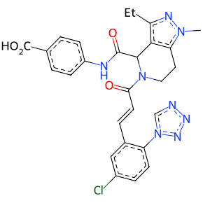 CCc1nn(C)c2c1C(C(=O)Nc1ccc(C(=O)O)cc1)N(C(=O)C=Cc1cc(Cl)ccc1-n1cnnn1)CC2